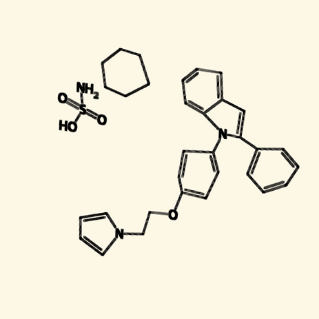 C1CCCCC1.NS(=O)(=O)O.c1ccc(-c2cc3ccccc3n2-c2ccc(OCCn3cccc3)cc2)cc1